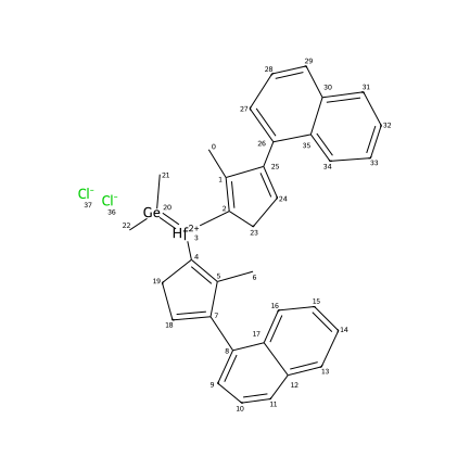 CC1=[C]([Hf+2]([C]2=C(C)C(c3cccc4ccccc34)=CC2)=[Ge]([CH3])[CH3])CC=C1c1cccc2ccccc12.[Cl-].[Cl-]